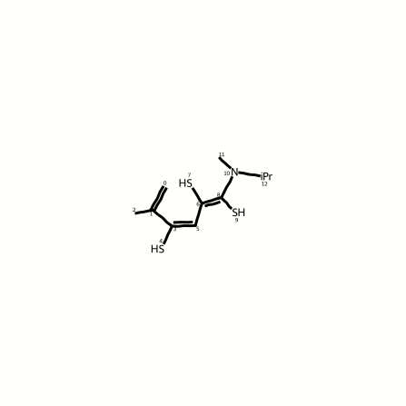 C=C(C)/C(S)=C\C(S)=C(/S)N(C)C(C)C